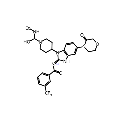 CCNC(O)N1CCC(n2/c(=N/C(=O)c3cccc(C(F)(F)F)c3)[nH]c3cc(N4CCOCC4=O)ccc32)CC1